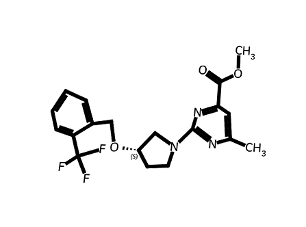 COC(=O)c1cc(C)nc(N2CC[C@H](OCc3ccccc3C(F)(F)F)C2)n1